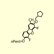 CCCCCOc1ccc2c(oc3c(F)c(OCC4CCCC4)c(C)cc32)c1F